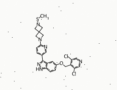 CSN1CC2(C1)CN(c1ccc(-c3n[nH]c4ccc(OCc5c(Cl)cncc5Cl)cc34)cn1)C2